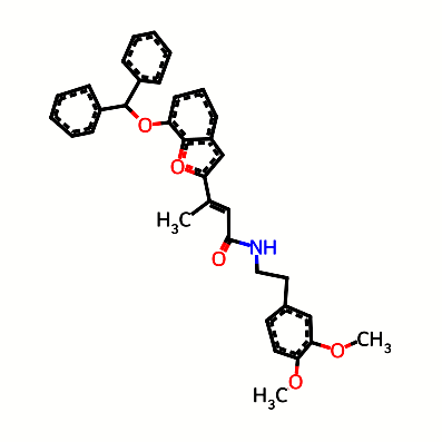 COc1ccc(CCNC(=O)/C=C(\C)c2cc3cccc(OC(c4ccccc4)c4ccccc4)c3o2)cc1OC